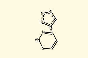 C1=CSNN=C1.c1nnn[nH]1